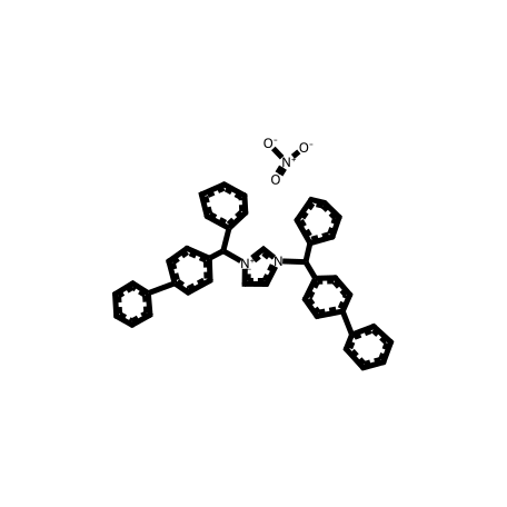 O=[N+]([O-])[O-].c1ccc(-c2ccc(C(c3ccccc3)n3cc[n+](C(c4ccccc4)c4ccc(-c5ccccc5)cc4)c3)cc2)cc1